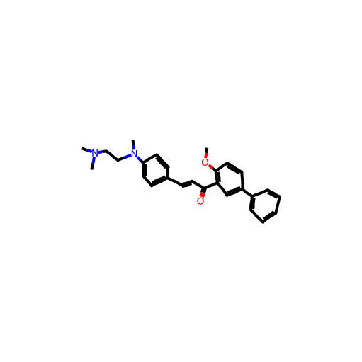 COc1ccc(-c2ccccc2)cc1C(=O)C=Cc1ccc(N(C)CCN(C)C)cc1